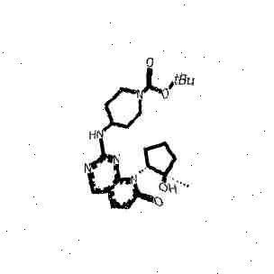 CC(C)(C)OC(=O)N1CCC(Nc2ncc3ccc(=O)n([C@@H]4CCC[C@@]4(C)O)c3n2)CC1